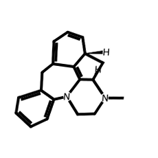 CN1CCN2C3=C4C(=CC=C[C@@H]4C[C@H]31)Cc1ccccc12